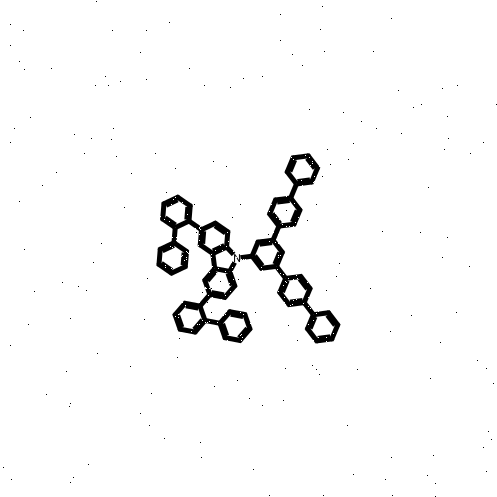 c1ccc(-c2ccc(-c3cc(-c4ccc(-c5ccccc5)cc4)cc(-n4c5ccc(-c6ccccc6-c6ccccc6)cc5c5cc(-c6ccccc6-c6ccccc6)ccc54)c3)cc2)cc1